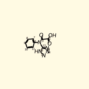 O=C(O)C(=O)N(c1ccccc1)c1nnn[nH]1